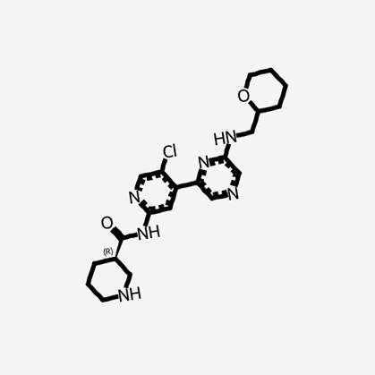 O=C(Nc1cc(-c2cncc(NCC3CCCCO3)n2)c(Cl)cn1)[C@@H]1CCCNC1